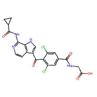 O=C(O)CNC(=O)c1cc(Cl)c(C(=O)c2c[nH]c3c(NC(=O)C4CC4)nccc23)c(Cl)c1